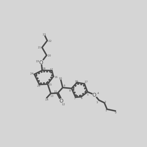 CCCCOc1ccc(C(C)C(=O)C(C)c2ccc(OCCCC)cc2)cc1